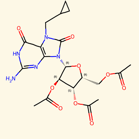 CC(=O)OC[C@H]1O[C@@H](n2c(=O)n(CC3CC3)c3c(=O)[nH]c(N)nc32)[C@H](OC(C)=O)[C@H]1OC(C)=O